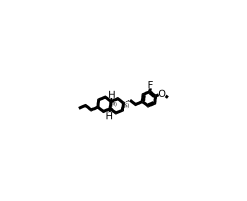 CCCC1CC[C@@H]2C[C@H](CCc3ccc(OC)c(F)c3)CC[C@@H]2C1